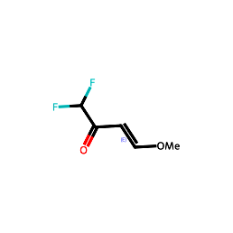 CO/C=C/C(=O)C(F)F